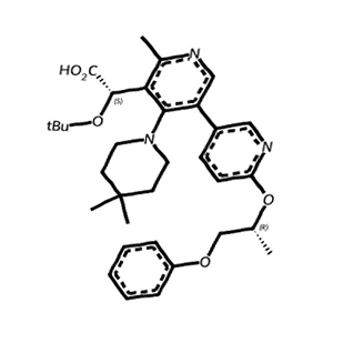 Cc1ncc(-c2ccc(O[C@H](C)COc3ccccc3)nc2)c(N2CCC(C)(C)CC2)c1[C@H](OC(C)(C)C)C(=O)O